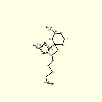 CCCCCCCCCCCCCCCCC1([n+]2cc[nH]c2)CCCC(C)C1.[Br-]